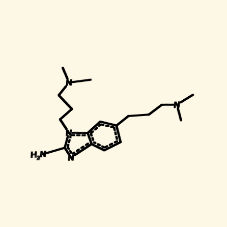 CN(C)CCCc1ccc2nc(N)n(CCCN(C)C)c2c1